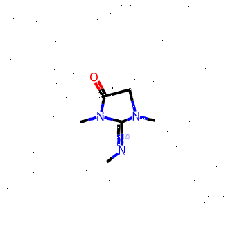 C/N=C1/N(C)CC(=O)N1C